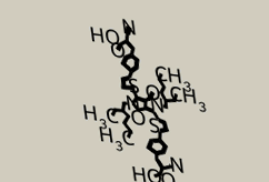 CCCCC(CC)CN1C(=O)C2=C(c3ccc(-c4ccc(/C=C(\C#N)C(=O)O)cc4)s3)N(CC(CC)CCCC)C(=O)C2=C1c1ccc(-c2ccc(/C=C(/C#N)C(=O)O)cc2)s1